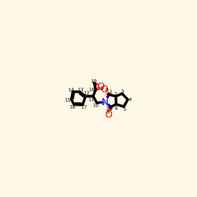 O=C1C2CCCC2C(=O)N1CC(c1ccccc1)C1CO1